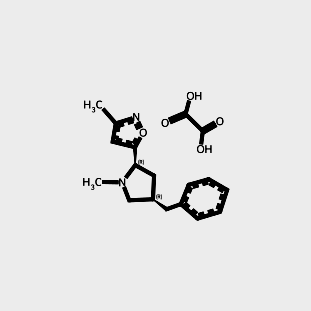 Cc1cc([C@H]2C[C@@H](Cc3ccccc3)CN2C)on1.O=C(O)C(=O)O